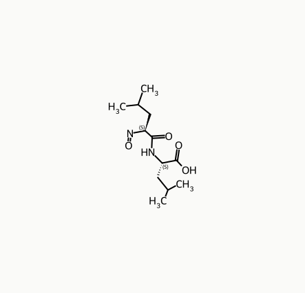 CC(C)C[C@H](N=O)C(=O)N[C@@H](CC(C)C)C(=O)O